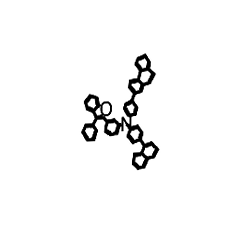 c1ccc(-c2c(-c3cccc(N(c4ccc(-c5ccc6c(ccc7ccccc76)c5)cc4)c4ccc(-c5cccc6ccccc56)cc4)c3)oc3ccccc23)cc1